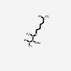 COB(N(C)OCCCC[C@@H](C)O)N(C)C(C)(C)C